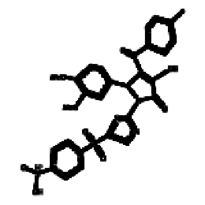 COc1ccc(C2C(C(=O)c3ccc(C)cc3)=C(O)C(=O)N2c2ncc(S(=O)(=O)c3ccc([NH+]([O-])O)cc3)s2)cc1OC